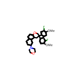 COc1ccc(C2(c3ccc(OC)c(F)c3)COc3ccc4ccc(N5CCOCC5)cc4c3C2)cc1F